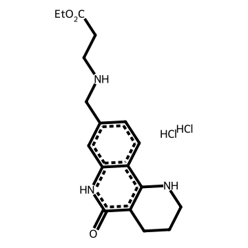 CCOC(=O)CCNCc1ccc2c3c(c(=O)[nH]c2c1)CCCN3.Cl.Cl